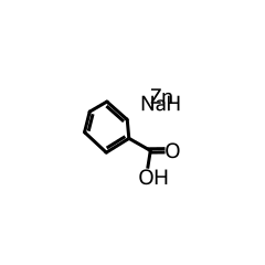 O=C(O)c1ccccc1.[NaH].[Zn]